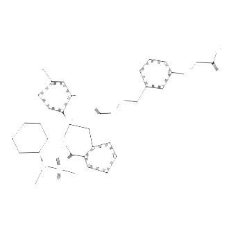 CN([C@H]1CCCC[C@@H]1N1C(=O)c2ccccc2[C@@H](C(=O)NOCc2cccc(OCC(=O)O)c2)[C@@H]1c1ccc(Cl)cc1Cl)S(C)(=O)=O